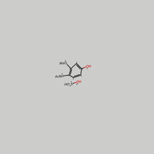 COc1cc(O)ccc1NC(C)=O.O=S(=O)(O)O